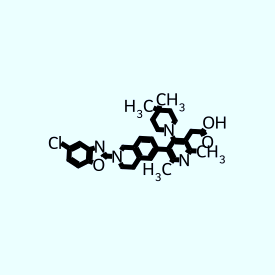 Cc1nc(C)c(-c2ccc3c(c2)CCN(c2nc4cc(Cl)ccc4o2)C3)c(N2CCC(C)(C)CC2)c1CC(=O)O